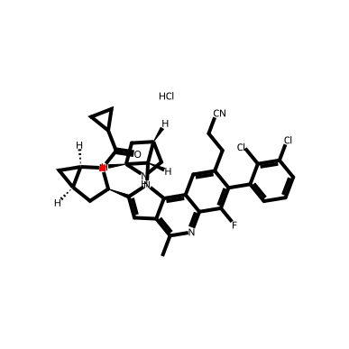 Cc1nc2c(F)c(-c3cccc(Cl)c3Cl)c(CCC#N)cc2c2c1cc([C@H]1C[C@H]3C[C@H]3N1C(=O)C1CC1)n2[C@H]1[C@H]2CN[C@@H]1C2.Cl